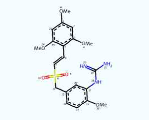 COc1cc(OC)c(/C=C/S(=O)(=O)Cc2ccc(OC)c(NC(=N)N)c2)c(OC)c1